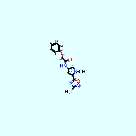 Cc1noc(C2C[C@H](NC(=O)COc3ccccc3)CN2C)n1